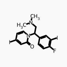 CN(C)CC(c1ccc(F)c(I)c1)n1ccc(I)cc1=O